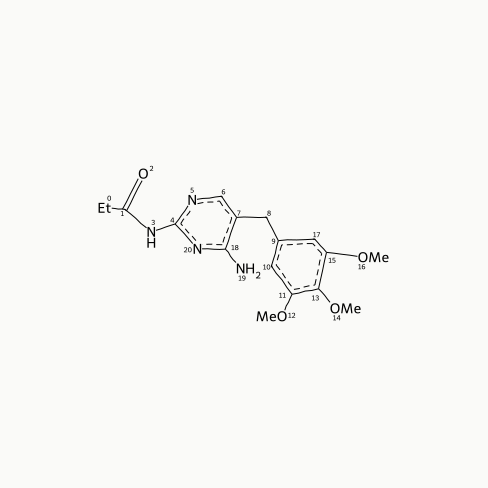 CCC(=O)Nc1ncc(Cc2cc(OC)c(OC)c(OC)c2)c(N)n1